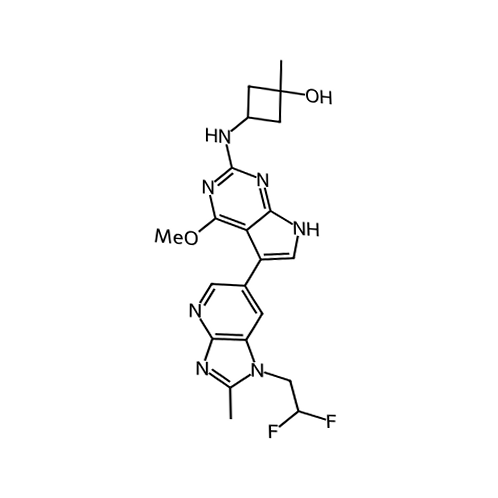 COc1nc(NC2CC(C)(O)C2)nc2[nH]cc(-c3cnc4nc(C)n(CC(F)F)c4c3)c12